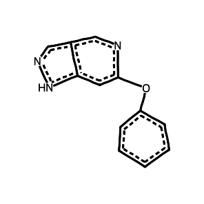 c1ccc(Oc2cc3[nH]ncc3cn2)cc1